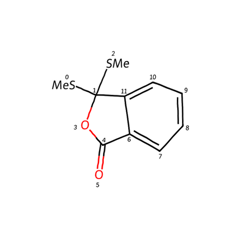 CSC1(SC)OC(=O)c2ccccc21